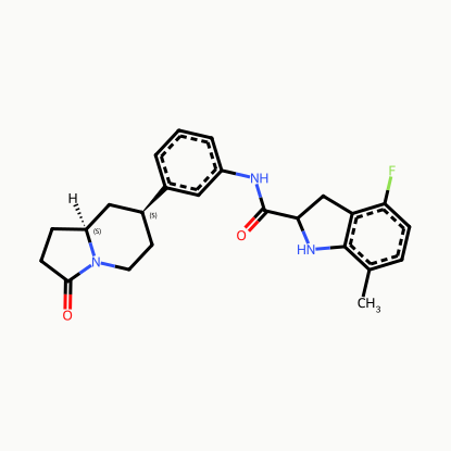 Cc1ccc(F)c2c1NC(C(=O)Nc1cccc([C@H]3CCN4C(=O)CC[C@H]4C3)c1)C2